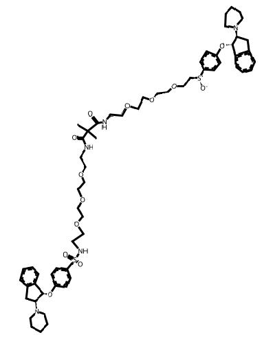 CC(C)(C(=O)NCCOCCOCCOCCNS(=O)(=O)c1ccc(O[C@H]2c3ccccc3C[C@@H]2N2CCCCC2)cc1)C(=O)NCCOCCOCCOCC[S@@+]([O-])c1ccc(O[C@H]2c3ccccc3C[C@@H]2N2CCCCC2)cc1